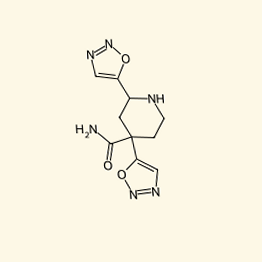 NC(=O)C1(c2cnno2)CCNC(c2cnno2)C1